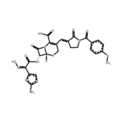 COc1ccc(C(=O)N2CC/C(=C\C3=C(C(=O)O)N4C(=O)[C@@H](NC(=O)/C(=N\O)c5csc(N)n5)[C@H]4SC3)C2=O)cc1